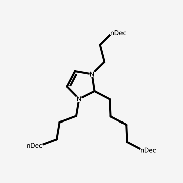 CCCCCCCCCCCCCCC1N(CCCCCCCCCCCC)C=CN1CCCCCCCCCCCCC